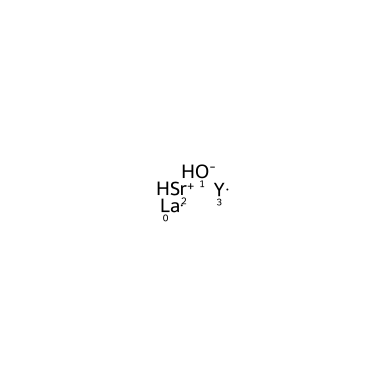 [La].[OH-].[SrH+].[Y]